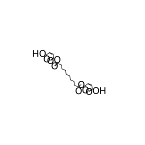 O=C(O)/C=C\C(=O)OC(=O)CCCCCCCCC(=O)OC(=O)/C=C\C(=O)O